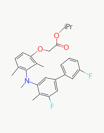 Cc1ccc(OCC(=O)OC(C)C)c(C)c1N(C)c1cc(-c2cccc(F)c2)cc(F)c1C